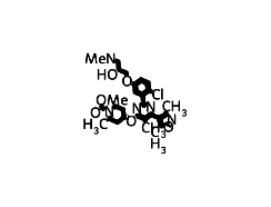 CNCC(O)COc1ccc(Cl)c(-c2nc(O[C@H]3CCN(C(=O)OC)[C@@H](C)C3)c(C)c(-c3c(C)noc3C)n2)c1